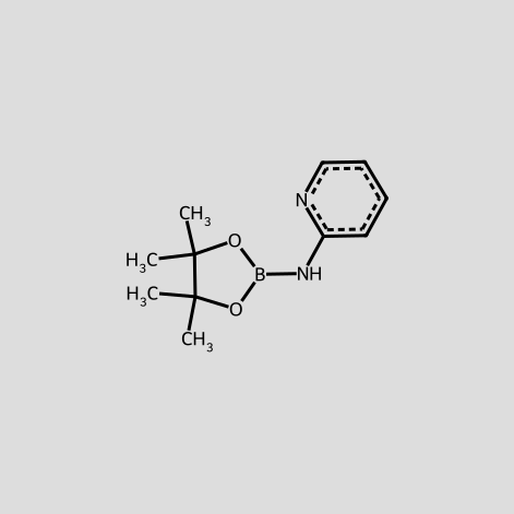 CC1(C)OB(Nc2ccccn2)OC1(C)C